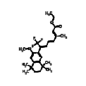 CCOC(=O)C=C(C)C=CC=C(c1cc2c(cc1OC)C(C)(C)CCC2(C)C)C(F)(F)F